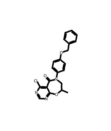 CC1CN(c2ccc(OCc3ccccc3)cc2)C(=O)c2c(Cl)ncnc2O1